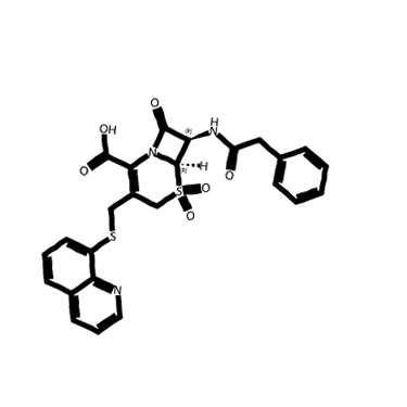 O=C(Cc1ccccc1)N[C@@H]1C(=O)N2C(C(=O)O)=C(CSc3cccc4cccnc34)CS(=O)(=O)[C@H]12